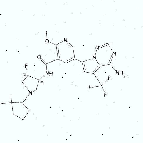 COc1ncc(-c2cc(C(F)(F)F)c3c(N)ncnn23)cc1C(=O)N[C@@H]1CN(C2CCCC2(C)C)C[C@@H]1F